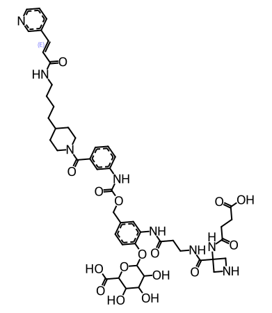 O=C(O)CCC(=O)NC1(C(=O)NCCC(=O)Nc2cc(COC(=O)Nc3cccc(C(=O)N4CCC(CCCCNC(=O)/C=C/c5cccnc5)CC4)c3)ccc2OC2OC(C(=O)O)C(O)C(O)C2O)CNC1